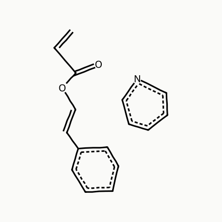 C=CC(=O)OC=Cc1ccccc1.c1ccncc1